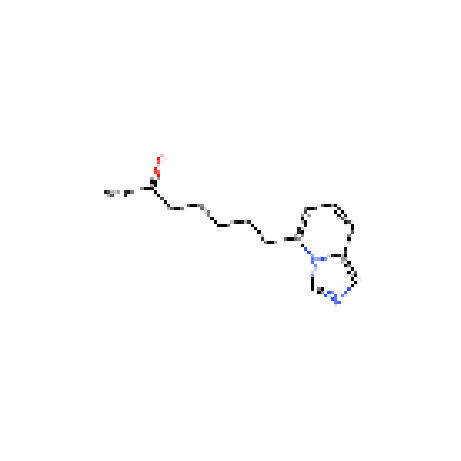 CNC(=O)CCCCCc1cccc2cncn12